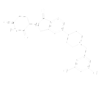 O=C1CCC(N2Cc3cc(C4CCN(Cc5cc(Cl)cc(Cl)c5)CC4)ccc3C2=O)C(=O)N1